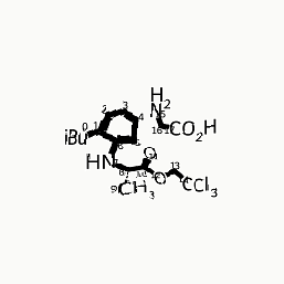 CCC(C)c1ccccc1N[C@@H](C)C(=O)OCC(Cl)(Cl)Cl.NCC(=O)O